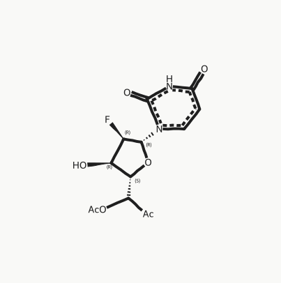 CC(=O)OC(C(C)=O)[C@H]1O[C@@H](n2ccc(=O)[nH]c2=O)[C@H](F)[C@@H]1O